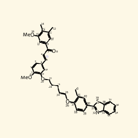 COc1ccc(/C=C/C(=O)c2cc(C)c(C)c(OC)c2)cc1OCCCCCOc1ccc(-c2nc3ccccc3s2)cc1C